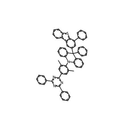 Cc1cc(-c2nc(-c3ccccc3)nc(-c3ccccc3)n2)cc(C)c1N1c2ccccc2C(c2ccccc2)(c2cc(-c3ccccc3)c3sc4ccccc4c3c2)c2ccccc21